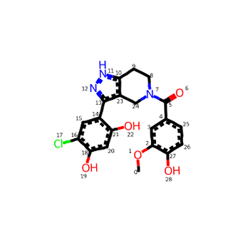 COc1cc(C(=O)N2CCc3[nH]nc(-c4cc(Cl)c(O)cc4O)c3C2)ccc1O